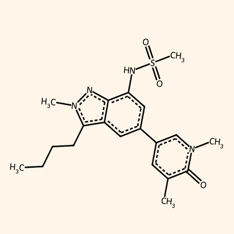 CCCCc1c2cc(-c3cc(C)c(=O)n(C)c3)cc(NS(C)(=O)=O)c2nn1C